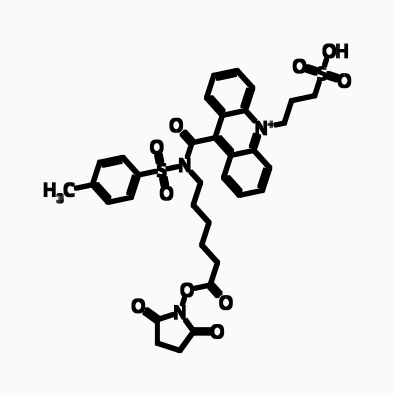 Cc1ccc(S(=O)(=O)N(CCCCCC(=O)ON2C(=O)CCC2=O)C(=O)c2c3ccccc3[n+](CCCS(=O)(=O)O)c3ccccc23)cc1